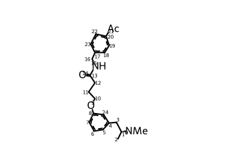 CN[C@@H](C)Cc1cccc(OCCCC(=O)NCc2ccc(C(C)=O)cc2)c1